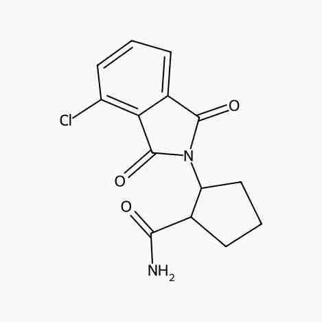 NC(=O)C1CCCC1N1C(=O)c2cccc(Cl)c2C1=O